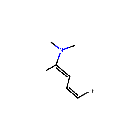 CC/C=C\C=C(/C)N(C)C